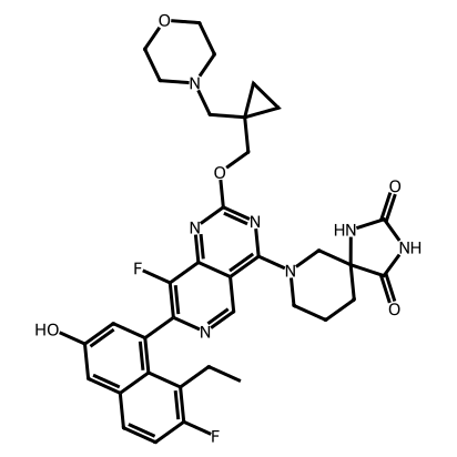 CCc1c(F)ccc2cc(O)cc(-c3ncc4c(N5CCCC6(C5)NC(=O)NC6=O)nc(OCC5(CN6CCOCC6)CC5)nc4c3F)c12